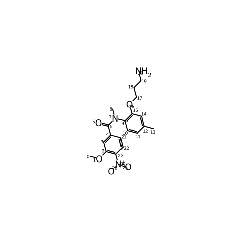 COc1cc(C(=O)N(C)c2ccc(C)cc2OCCCN)ccc1[N+](=O)[O-]